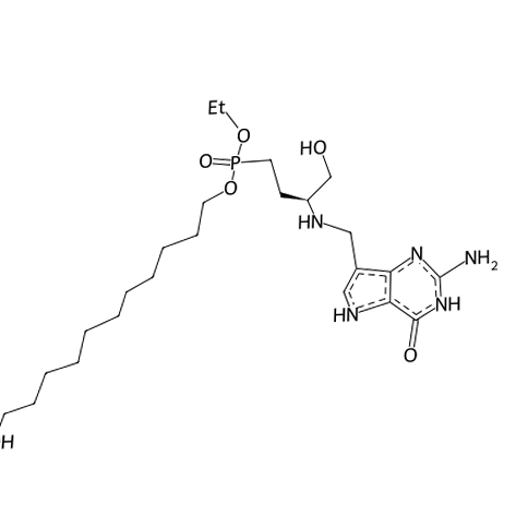 CCOP(=O)(CC[C@@H](CO)NCc1c[nH]c2c(=O)[nH]c(N)nc12)OCCCCCCCCCCCO